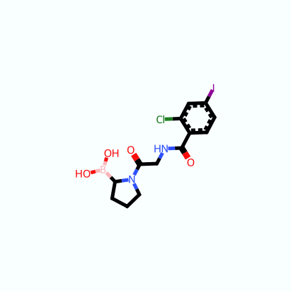 O=C(NCC(=O)N1CCCC1B(O)O)c1ccc(I)cc1Cl